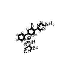 CC(C)(C)C(CO)NS(=O)(=O)c1ccccc1-c1ccc(-c2cnc(N)cn2)c(F)c1